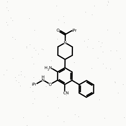 CC(C)NOc1c(N)c(C2CCN(C(=O)C(C)C)CC2)cc(-c2ccccc2)c1C#N